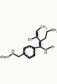 C/C=C(CC)\C(CCN)=C(\NC(C)C)c1ccc(CNCCCCC)cc1